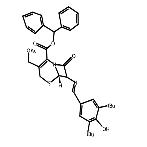 CC(=O)OCC1=C(C(=O)OC(c2ccccc2)c2ccccc2)N2C(=O)C(N=Cc3cc(C(C)(C)C)c(O)c(C(C)(C)C)c3)[C@@H]2SC1